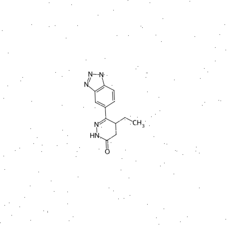 CCC1CC(=O)NN=C1c1ccc2c(c1)N=N[N]2